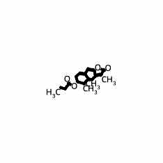 CCCC(=O)OC1CC=C2C=C3OC(=O)C(C)=C3CC2(C)C1C